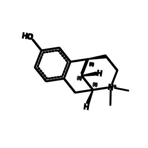 C[N+]1(C)CC[C@]23CCCC[C@H]2[C@H]1Cc1ccc(O)cc13